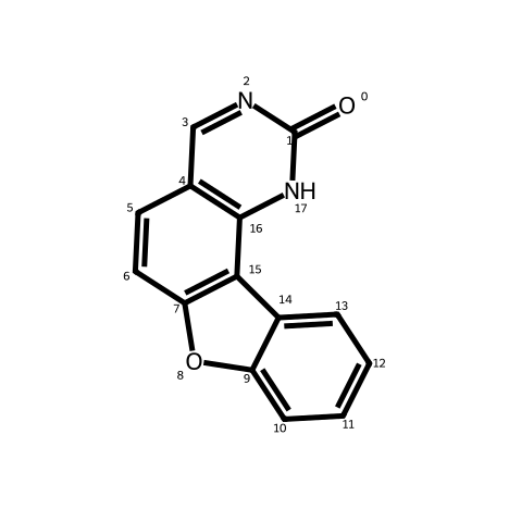 O=c1ncc2ccc3oc4ccccc4c3c2[nH]1